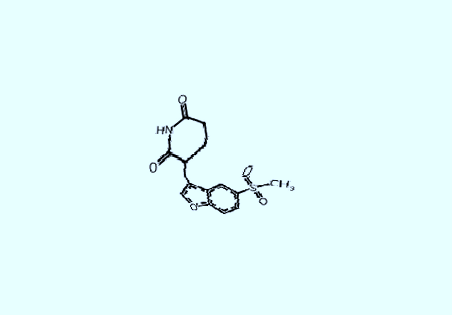 CS(=O)(=O)c1ccc2occ(C3CCC(=O)NC3=O)c2c1